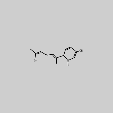 CC/C(C)=C\S/C=C(\C)C1C=CC(C#N)=CN1C